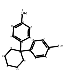 Oc1ccc(C2(c3ccc(I)cc3)CCCCC2)cc1